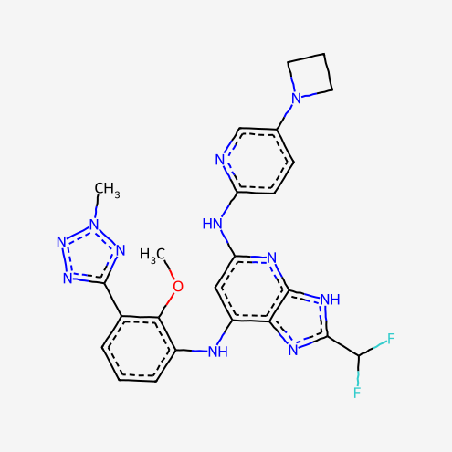 COc1c(Nc2cc(Nc3ccc(N4CCC4)cn3)nc3[nH]c(C(F)F)nc23)cccc1-c1nnn(C)n1